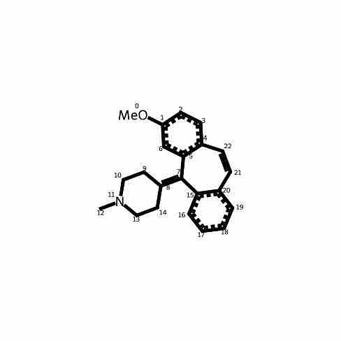 COc1ccc2c(c1)C(=C1CCN(C)CC1)c1ccccc1C=C2